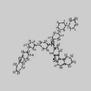 c1ccc(-c2cccc(-c3ccc(N(c4ccc(-c5cccc(-c6ccc7c(c6)oc6ccccc67)c5)cc4)c4ccc5c(c4)sc4ccc6ccccc6c45)cc3)c2)cc1